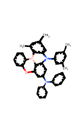 Cc1cc(C)cc(N2c3cc(C)cc(C)c3B3c4ccccc4Oc4cc(N(c5ccccc5)c5ccccc5)cc2c43)c1